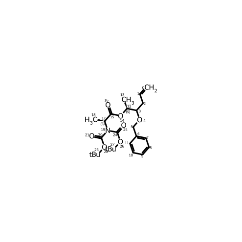 C=CCC(OCc1ccccc1)[C@H](C)OC(=O)[C@H](C)N(C(=O)OC(C)(C)C)C(=O)OC(C)(C)C